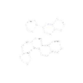 c1ccc(-c2nc3ccccc3nc2-c2cc3ccc4ccccc4c3c3ccc4ccccc4c23)cc1